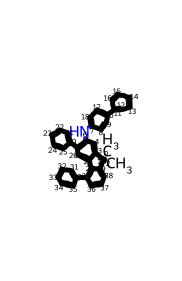 CC1(C)c2cc(Nc3ccc(-c4ccccc4)cc3)c(-c3ccccc3)cc2-c2c(-c3ccccc3)cccc21